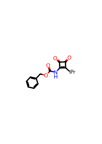 CC(C)c1c(NC(=O)OCc2ccccc2)c(=O)c1=O